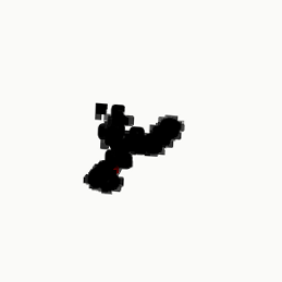 CC(COC(=O)C(C)(C)CC(C)(CC(C)(C)C(=O)Oc1ccc2cc3ccccc3cc2c1)C(=O)OC1CC23CCCC45CCC(C4)C(C1C2)C53)C(F)(F)F